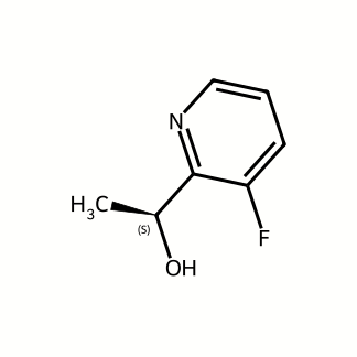 C[C@H](O)c1ncccc1F